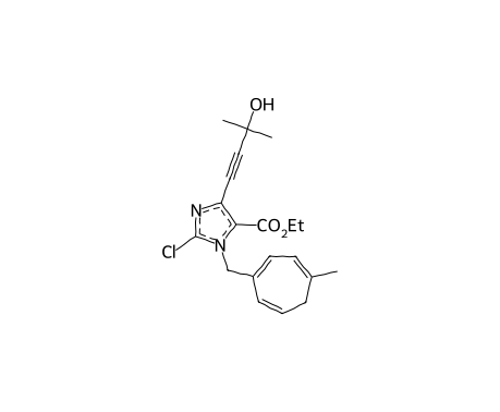 CCOC(=O)c1c(C#CC(C)(C)O)nc(Cl)n1CC1=CC=C(C)CC=C1